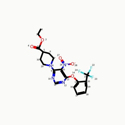 CCOC(=O)C1CCN(c2ncnc(Oc3ccccc3C(F)(F)F)c2[N+](=O)[O-])CC1